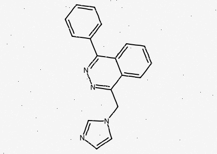 c1ccc(-c2nnc(Cn3ccnc3)c3ccccc23)cc1